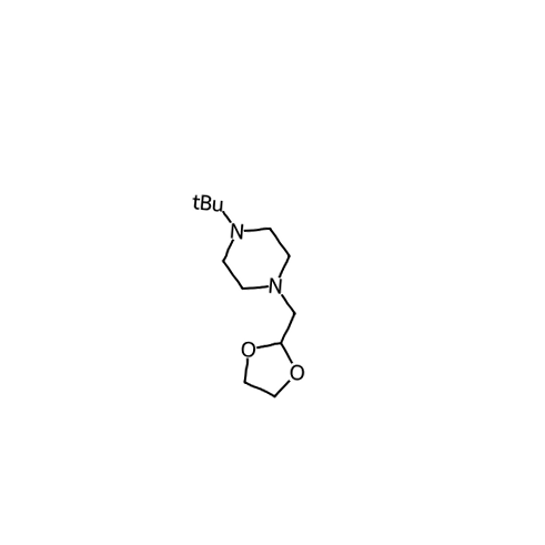 CC(C)(C)N1CCN(CC2OCCO2)CC1